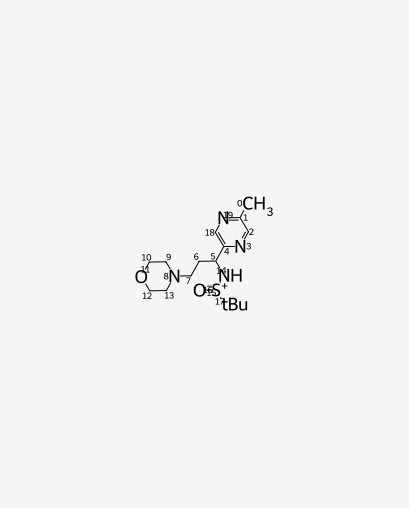 Cc1cnc(C(CCN2CCOCC2)N[S+]([O-])C(C)(C)C)cn1